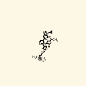 C[C@@H](Oc1nc(-c2ccnc(-c3cnn(COCC[Si](C)(C)C)c3)c2)cc2ncn(C3CC3)c12)[C@H]1CNC(=O)C1